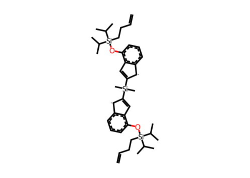 C=CCC[Si](Oc1cccc2c1C=C([Si](C)(C)C1=Cc3c(cccc3O[Si](CCC=C)(C(C)C)C(C)C)[CH]1)[CH]2)(C(C)C)C(C)C